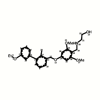 CCOc1cccc(-c2cccc(COc3cc(OC)c(CNCCO)c(OC)c3)c2C)c1